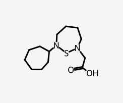 O=C(O)CN1CCCCN(C2CCCCCC2)S1